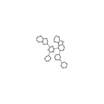 c1ccc(-c2cccc(-c3ccc4sc5ccccc5c4c3-c3nc(-c4ccccc4)nc(-c4ccc5ccccc5c4)n3)c2)cc1